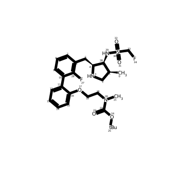 C[C@H]1CN[C@@H](Cc2cccc(-c3ccccc3OCCN(C)C(=O)OC(C)(C)C)c2F)[C@H]1NS(=O)(=O)CF